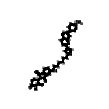 CN1CCN(c2ccc3ncc(-c4cnn(CCCCCCNc5ccc6c(c5)C(=O)N(C5CCC(=O)NC5=O)C6=O)c4)nc3c2)CC1